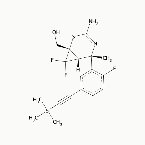 C[C@]1(c2cc(C#C[Si](C)(C)C)ccc2F)N=C(N)S[C@]2(CO)[C@H]1C2(F)F